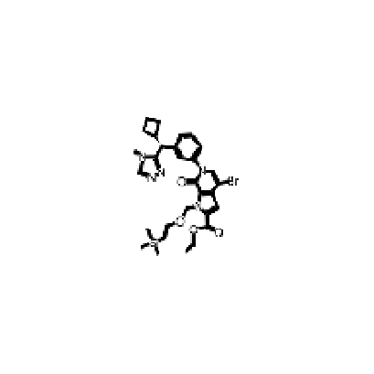 CCOC(=O)c1cc2c(Br)cn(-c3cccc([C@H](c4nncn4C)C4CCC4)c3)c(=O)c2n1COCC[Si](C)(C)C